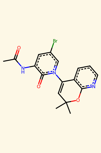 CC(=O)Nc1cc(Br)cn(C2=CC(C)(C)Oc3ncccc32)c1=O